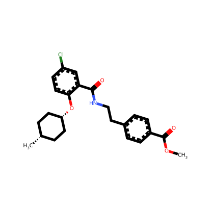 COC(=O)c1ccc(CCNC(=O)c2cc(Cl)ccc2O[C@H]2CC[C@@H](C)CC2)cc1